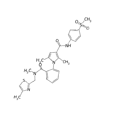 Cc1csc(CN(C)C(=O)c2ccccc2-n2c(C)cc(C(=O)Nc3ccc(S(C)(=O)=O)cc3)c2C)n1